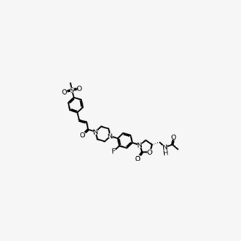 CC(=O)NC[C@H]1CN(c2ccc(N3CCN(C(=O)C=Cc4ccc(S(C)(=O)=O)cc4)CC3)c(F)c2)C(=O)O1